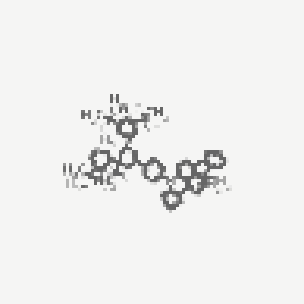 CC(C)(C)c1cc(C2=CC(c3cccc(C(C)(C)C)c3)(C(C)(C)C)CC(c3ccc(N(c4ccc5c(c4)C(C)(C)c4ccccc4-5)c4ccccc4-c4ccccc4)cc3)=C2)cc(C(C)(C)C)c1